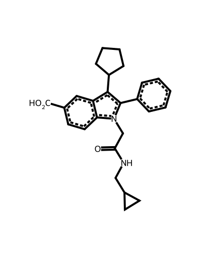 O=C(Cn1c(-c2ccccc2)c(C2CCCC2)c2cc(C(=O)O)ccc21)NCC1CC1